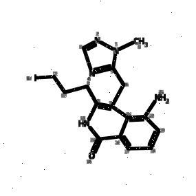 Cn1ncnc1Cc1c(CCCI)[nH]c(=O)c2cccc(N)c12